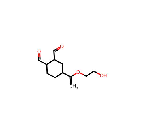 C=C(OCCO)C1CCC(C=O)C(C=O)C1